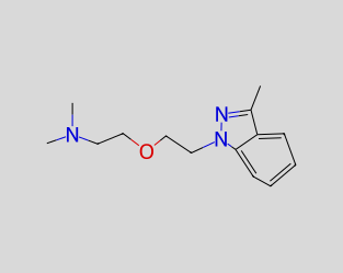 Cc1nn(CCOCCN(C)C)c2ccccc12